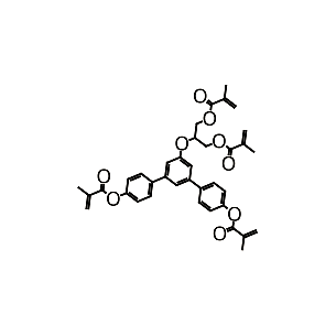 C=C(C)C(=O)OCC(COC(=O)C(=C)C)Oc1cc(-c2ccc(OC(=O)C(=C)C)cc2)cc(-c2ccc(OC(=O)C(=C)C)cc2)c1